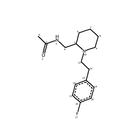 CC(=O)N[CH]C1CCCCN1CCc1ccc(F)cc1